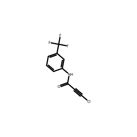 O=C(C#CCl)Nc1cccc(C(F)(F)F)c1